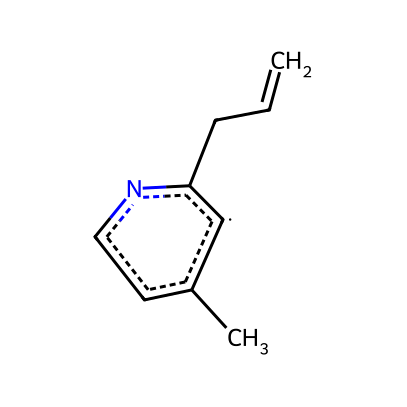 C=CCc1[c]c(C)ccn1